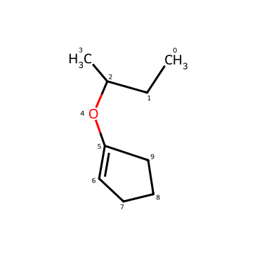 CCC(C)OC1=CCCC1